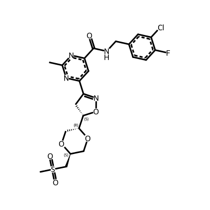 Cc1nc(C(=O)NCc2ccc(F)c(Cl)c2)cc(C2=NO[C@H]([C@H]3CO[C@H](CS(C)(=O)=O)CO3)C2)n1